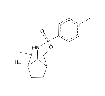 Cc1ccc(S(=O)(=O)NC2C3CC[C@H]2C(C)(C)C3C)cc1